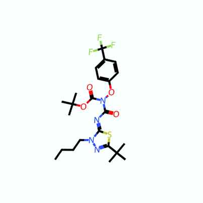 CCCCn1nc(C(C)(C)C)sc1=NC(=O)N(Oc1ccc(C(F)(F)F)cc1)C(=O)OC(C)(C)C